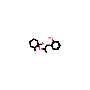 CCC1CCCCC1(CC)OC(C)Cc1ccccc1O